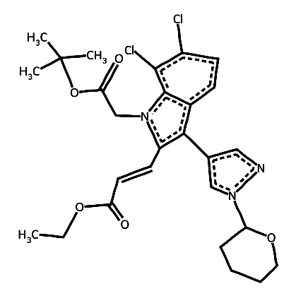 CCOC(=O)/C=C/c1c(-c2cnn(C3CCCCO3)c2)c2ccc(Cl)c(Cl)c2n1CC(=O)OC(C)(C)C